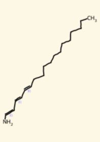 CCCCCCCCCCCC/C=C/C=C/C=C/N